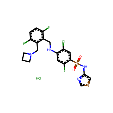 Cl.O=S(=O)(Nc1cscn1)c1cc(Cl)c(NCc2c(F)ccc(F)c2CN2CCC2)cc1F